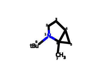 CC(C)(C)N1CCC2CC21C